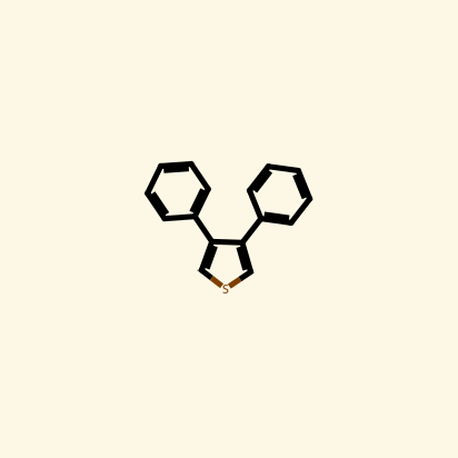 [c]1scc(-c2ccccc2)c1-c1ccccc1